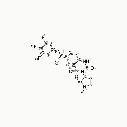 CN1CCC(N2C(=O)Nc3ccc(C(=O)Nc4cc(F)c(F)c(F)c4)cc3S2(=O)=O)C1